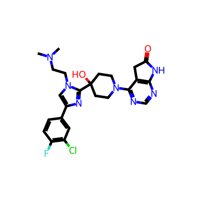 CN(C)CCn1cc(-c2ccc(F)c(Cl)c2)nc1C1(O)CCN(c2ncnc3c2CC(=O)N3)CC1